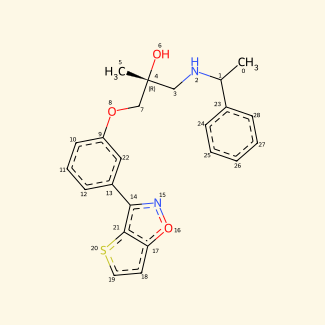 CC(NC[C@@](C)(O)COc1cccc(-c2noc3ccsc23)c1)c1ccccc1